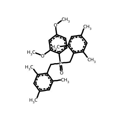 COc1ccc(P(=O)(Cc2c(C)cc(C)cc2C)Cc2c(C)cc(C)cc2C)c(OC)c1